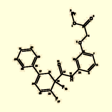 CC(C)OC(=O)COc1cccc(NC(=O)C2(F)CC(c3ccccc3)=CC=C2F)c1